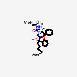 CNCC(C)NC(=O)N1CCCC(C(O)(CCCCOC)c2ccccc2Oc2ccccc2C)C1